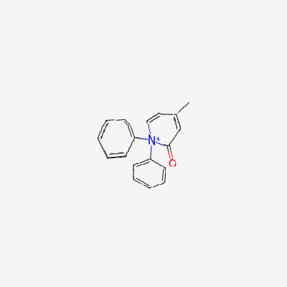 CC1=CC(=O)[N+](c2ccccc2)(c2ccccc2)C=C1